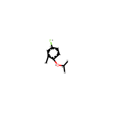 [CH]c1cc(F)ccc1OC(C)C